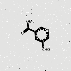 COC(=O)c1cncc(C=O)c1